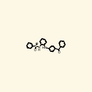 O=C(c1ccccc1)c1ccc(Nc2ccccc2NS(=O)(=O)c2ccccc2)cc1